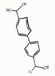 N#CC(C#N)c1ccc(-c2ccc(C(C#N)C#N)cc2)cc1